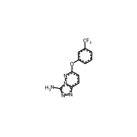 Nc1nnc2ccc(Oc3cccc(C(F)(F)F)c3)nn12